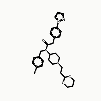 O=C(Cc1ccc(-n2cccn2)cc1)N(Cc1ccc(F)cc1)C1CCN(CCC2OCCCO2)CC1